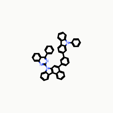 c1ccc(-c2nc(-n3c4ccccc4c4c5ccccc5c(-c5cccc(-c6ccc7c8ccccc8n(-c8ccccc8)c7c6)c5)cc43)nc3ccccc23)cc1